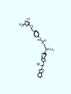 CN(CCOC(=O)NCc1ccc(COc2cc(Cl)nc(N)n2)cc1)c1cc2sc(/C=C(\C#N)c3nc4ccccc4o3)cc2s1